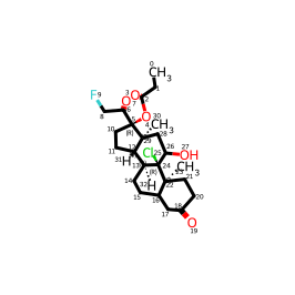 CCC(=O)O[C@]1(C(=O)CF)CC[C@H]2[C@@H]3CCC4CC(=O)CC[C@]4(C)[C@@]3(Cl)C(O)C[C@@]21C